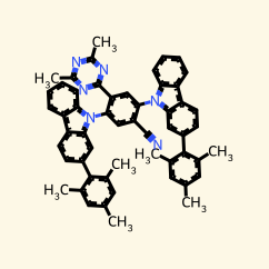 Cc1cc(C)c(-c2ccc3c4ccccc4n(-c4cc(-c5nc(C)nc(C)n5)c(-n5c6ccccc6c6ccc(-c7c(C)cc(C)cc7C)cc65)cc4C#N)c3c2)c(C)c1